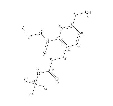 CCOC(=O)c1nc(CO)ccc1CCC(=O)OC(C)(C)C